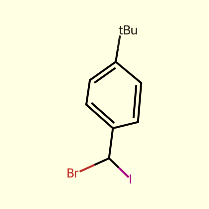 CC(C)(C)c1ccc(C(Br)I)cc1